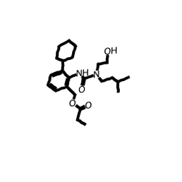 CCC(=O)OCc1cccc(C2CCCCC2)c1NC(=O)N(CCO)CCC(C)C